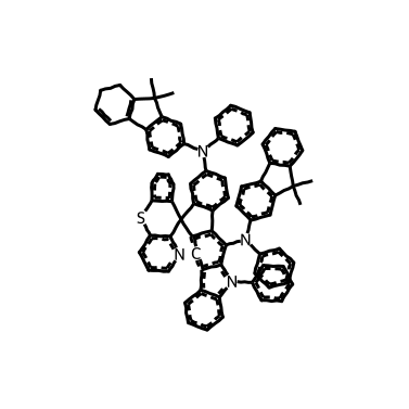 CC1(C)C2=C(C=CCC2)c2ccc(N(c3ccccc3)c3ccc4c(c3)C3(c5ccccc5Sc5cccnc53)c3cc5c6ccccc6n(-c6ccccc6)c5c(N(c5ccccc5)c5ccc6c(c5)C(C)(C)c5ccccc5-6)c3-4)cc21